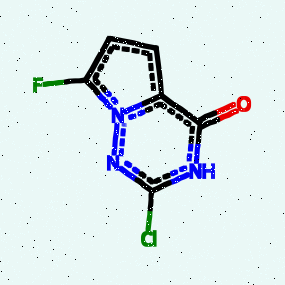 O=c1[nH]c(Cl)nn2c(F)ccc12